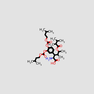 CC(C)CCOC(=O)Oc1ccc(C(C(C)C(C)OC(=O)C(C)C(C)C)[C@H](N)C(=O)O)cc1OC(=O)OCCC(C)C